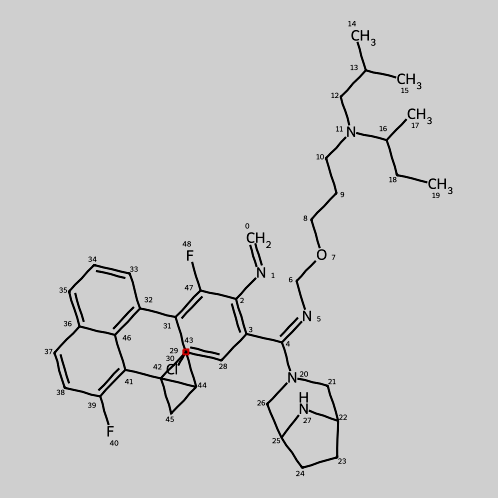 C=Nc1c(/C(=N\COCCCN(CC(C)C)C(C)CC)N2CC3CCC(C2)N3)cc(Cl)c(-c2cccc3ccc(F)c(C45CC4C5)c23)c1F